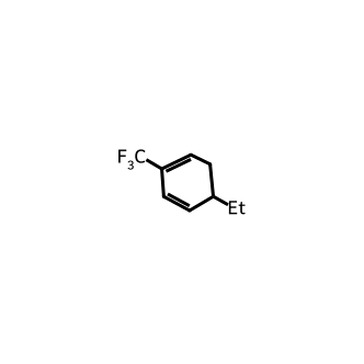 CCC1C=CC(C(F)(F)F)=CC1